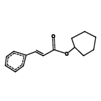 O=C(C=Cc1ccccc1)OC1CCCCC1